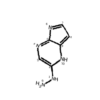 NNc1cnc2nccc-2[nH]1